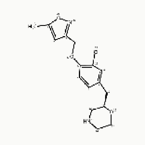 Cc1cc(COc2ccc(C[C@@H]3CNCCO3)cc2Cl)no1